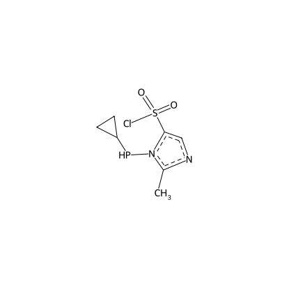 Cc1ncc(S(=O)(=O)Cl)n1PC1CC1